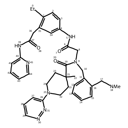 CCc1ccc(NC(=O)CN(Cc2ccccc2CNC)C(=O)C2(C)CCN(c3cccnn3)CC2)cc1CC(=O)Nc1ccccn1